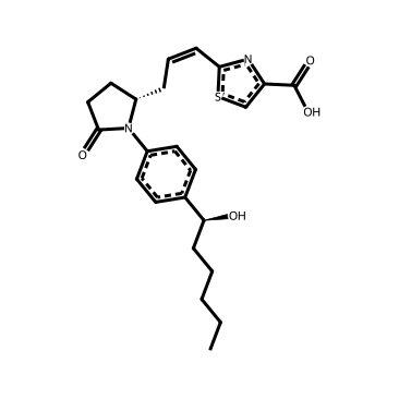 CCCCC[C@H](O)c1ccc(N2C(=O)CC[C@@H]2C/C=C\c2nc(C(=O)O)cs2)cc1